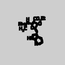 CCOC(=O)C1=C(NN(C)CC)OC(=Cc2c[nH]c3ncccc23)C1=O